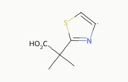 CC(C)(C(=O)O)c1n[c]cs1